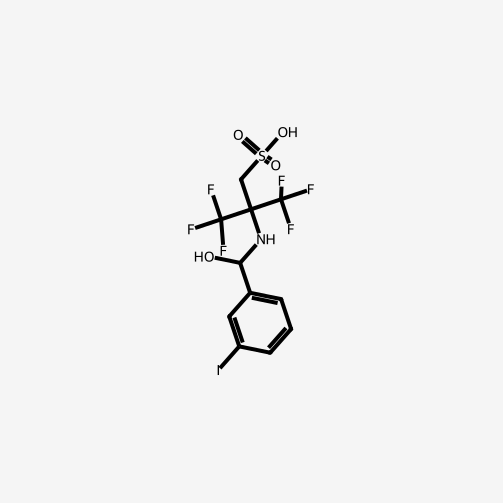 O=S(=O)(O)CC(NC(O)c1cccc(I)c1)(C(F)(F)F)C(F)(F)F